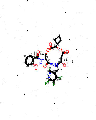 C[C@H]1OC(=O)C(C2CCC2)OC(=O)[C@H](C)[C@H](O)[C@H](Cc2c(F)nc(F)c(F)c2F)NC(=O)[C@H]1NC(=O)c1ccccc1O